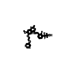 COc1cc2nc(C)nc(NCc3cccc(C(F)(F)C(C)(C)O)c3F)c2cc1OCCOc1cncnc1